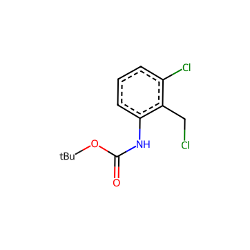 CC(C)(C)OC(=O)Nc1cccc(Cl)c1CCl